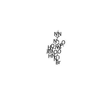 CC(=O)c1nn(CC(=O)N2[C@H](C(=O)Nc3nc(Br)ccc3COCCF)C[C@@]3(C)C[C@@H]23)c2cnc(-c3cnc(C)nc3)cc12